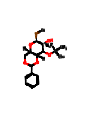 CCS[C@@H]1O[C@@H]2COC(c3ccccc3)O[C@H]2[C@H](O[Si](C)(C)C(C)(C)C)[C@H]1O